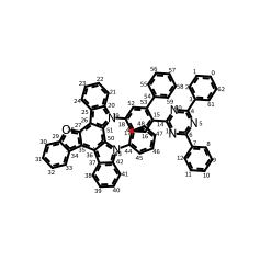 c1ccc(-c2nc(-c3ccccc3)nc(-c3ccc(-n4c5ccccc5c5c6oc7ccccc7c6c6c7ccccc7n(-c7ccccc7)c6c54)cc3-c3ccccc3)n2)cc1